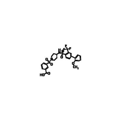 COc1ccccc1-c1ccc(S(=O)(=O)NC2CCN(S(=O)(=O)c3cccc(C(=O)O)c3)CC2)c(C(F)(F)F)c1